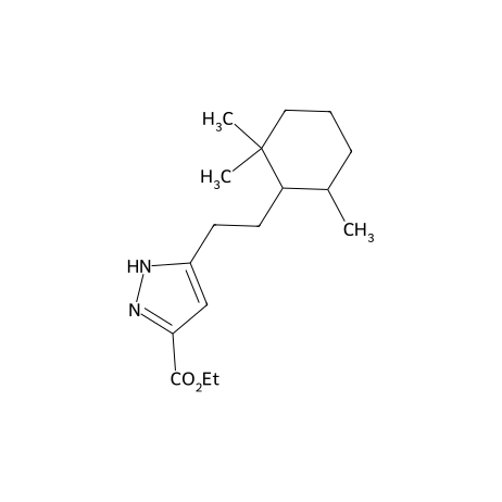 CCOC(=O)c1cc(CCC2C(C)CCCC2(C)C)[nH]n1